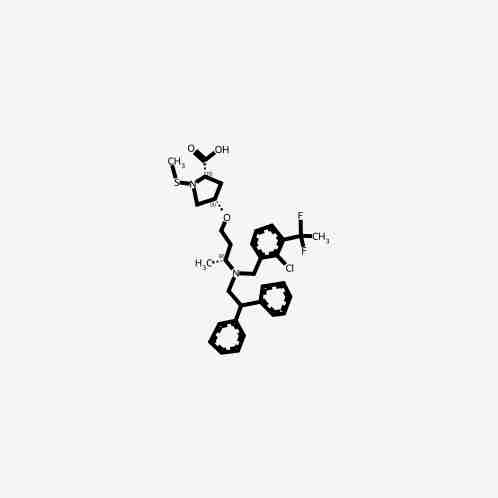 CSN1C[C@@H](OCC[C@@H](C)N(Cc2cccc(C(C)(F)F)c2Cl)CC(c2ccccc2)c2ccccc2)C[C@H]1C(=O)O